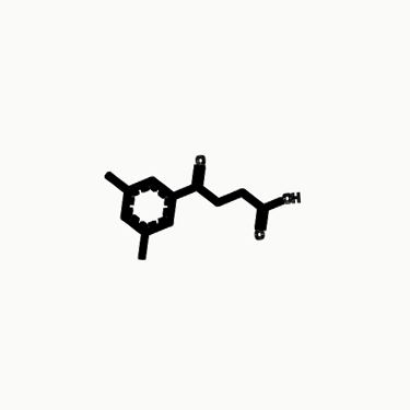 Cc1cc(C)cc(C(=O)CCC(=O)O)c1